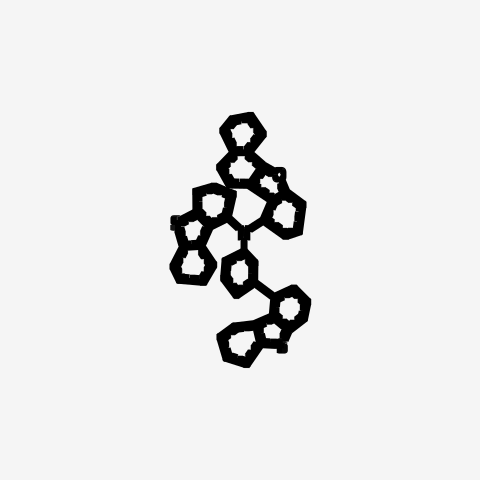 c1cc(-c2cccc3sc4ccccc4c23)cc(N(c2cccc3oc4c5ccccc5ccc4c23)c2cccc3sc4ccccc4c23)c1